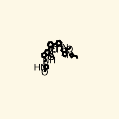 CCC1CN(C2CCc3cc(-c4cccc(-c5cccc(-c6cc7c(c(OC)n6)C(NC[C@@H]6CCC(=O)N6)CC7)c5Cl)c4Cl)nc(OC)c32)C1